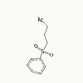 CC(=O)CCCS(=O)(=O)c1ccccc1